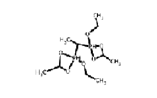 CCO[PH]1(C(C)[PH]2(OCC)OC(C)O2)OC(C)O1